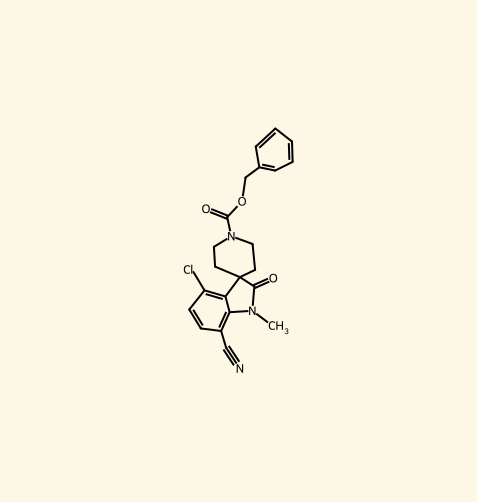 CN1C(=O)C2(CCN(C(=O)OCc3ccccc3)CC2)c2c(Cl)ccc(C#N)c21